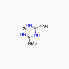 CNC(=N)NC(=N)NC.[Zn]